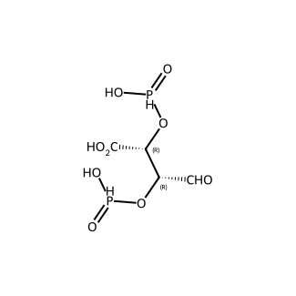 O=C[C@H](O[PH](=O)O)[C@@H](O[PH](=O)O)C(=O)O